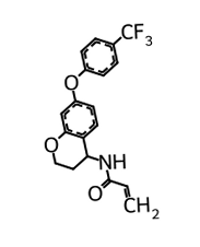 C=CC(=O)NC1CCOc2cc(Oc3ccc(C(F)(F)F)cc3)ccc21